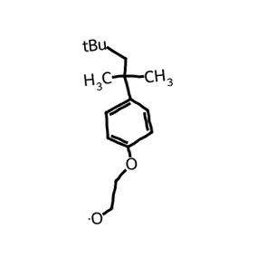 CC(C)(C)CC(C)(C)c1ccc(OCC[O])cc1